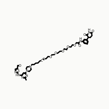 Cc1nc(Nc2ncc(C=O)s2)cc(N2CCN(CCCCCCOCCOCCOCCOCCOCCOCC(=O)Nc3cccc(C4CCC(=O)NC4=O)c3)CC2)n1